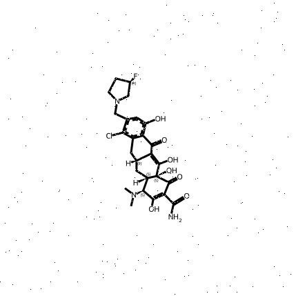 CN(C)[C@@H]1C(O)=C(C(N)=O)C(=O)[C@@]2(O)C(O)=C3C(=O)c4c(O)cc(CN5CC[C@@H](F)C5)c(Cl)c4C[C@H]3C[C@@H]12